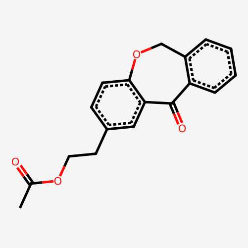 CC(=O)OCCc1ccc2c(c1)C(=O)c1ccccc1CO2